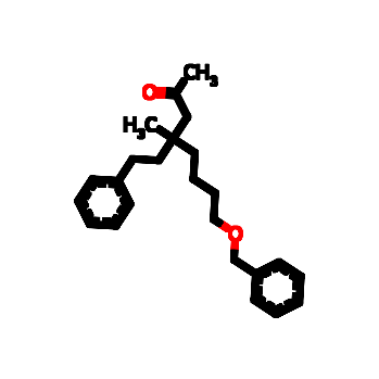 CC(=O)CC(C)(CCCCOCc1ccccc1)CCc1ccccc1